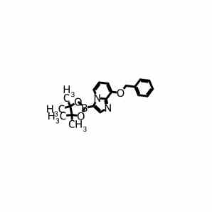 CC1(C)OB(c2cnc3c(OCc4ccccc4)cccn23)OC1(C)C